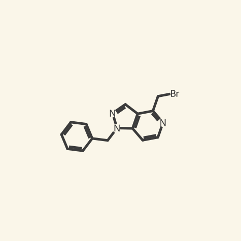 BrCc1nccc2c1cnn2Cc1ccccc1